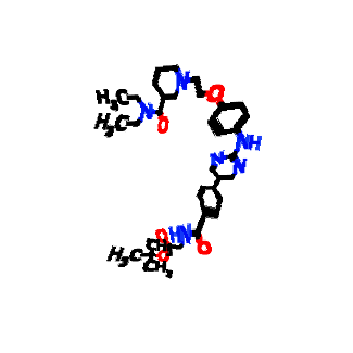 CCN(CC)C(=O)C1CCCN(CCOc2ccc(Nc3ncc(-c4ccc(C(=O)NCC(=O)OC(C)(C)C)cc4)cn3)cc2)C1